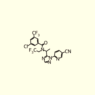 CC(c1ncnn1-c1ccc(C#N)cn1)N(CC(F)(F)F)C(=O)c1cc(Cl)cc(C(F)(F)F)c1